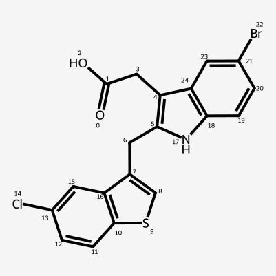 O=C(O)Cc1c(Cc2csc3ccc(Cl)cc23)[nH]c2ccc(Br)cc12